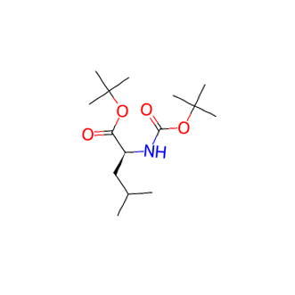 CC(C)C[C@H](NC(=O)OC(C)(C)C)C(=O)OC(C)(C)C